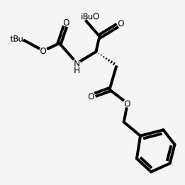 CC(C)COC(=O)[C@H](CC(=O)OCc1ccccc1)NC(=O)OC(C)(C)C